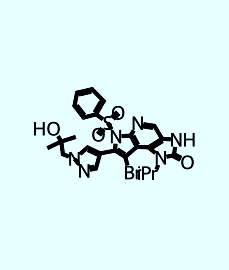 CC(C)n1c(=O)[nH]c2cnc3c(c(Br)c(-c4cnn(CC(C)(C)O)c4)n3S(=O)(=O)c3ccccc3)c21